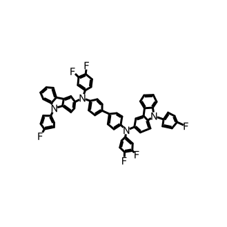 Fc1ccc(-n2c3ccccc3c3cc(N(c4ccc(-c5ccc(N(c6ccc(F)c(F)c6)c6ccc7c(c6)c6ccccc6n7-c6ccc(F)cc6)cc5)cc4)c4ccc(F)c(F)c4)ccc32)cc1